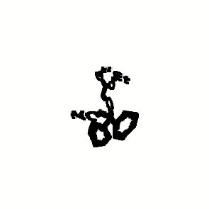 CCOC(COC(CC#N)(c1ccccc1)c1ccccc1)OCC